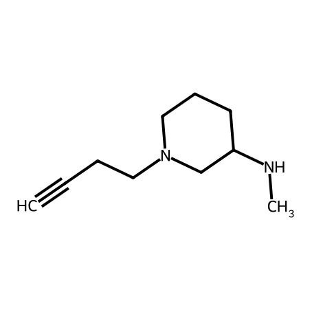 C#CCCN1CCCC(NC)C1